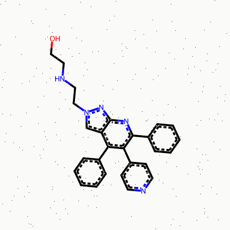 OCCNCCn1cc2c(-c3ccccc3)c(-c3ccncc3)c(-c3ccccc3)nc2n1